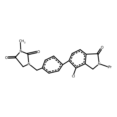 CC(C)N1Cc2c(ccc(-c3ccc(CN4CC(=O)N(C)C4=O)cc3)c2Cl)C1=O